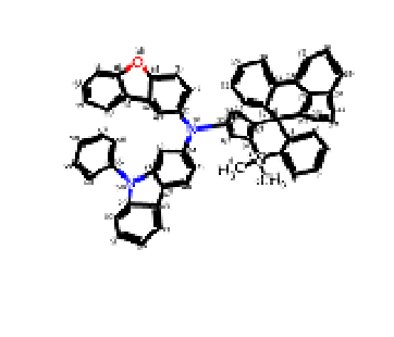 C[Si]1(C)c2ccccc2C2(c3ccccc3-c3cccc4cccc2c34)c2ccc(N(c3ccc4oc5ccccc5c4c3)c3ccc4c5ccccc5n(-c5ccccc5)c4c3)cc21